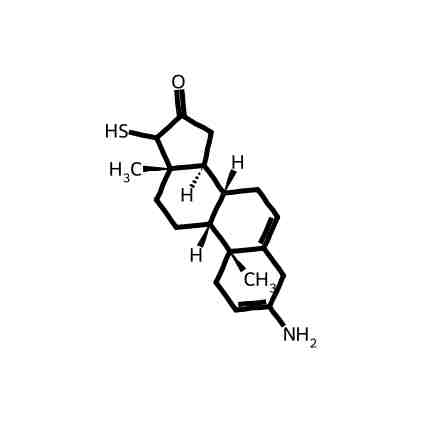 C[C@]12CC=C(N)CC1=CC[C@@H]1[C@H]2CC[C@]2(C)C(S)C(=O)C[C@@H]12